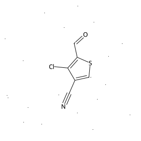 N#Cc1[c]sc(C=O)c1Cl